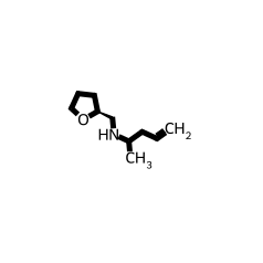 C=CCC(C)NC[C@@H]1CCCO1